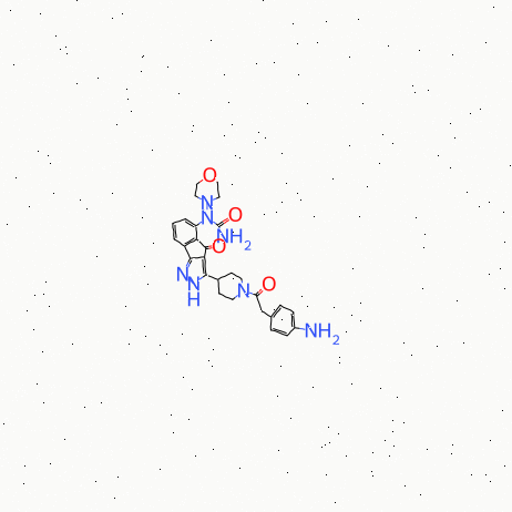 NC(=O)N(c1cccc2c1C(=O)c1c-2n[nH]c1C1CCN(C(=O)Cc2ccc(N)cc2)CC1)N1CCOCC1